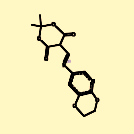 CC1(C)OC(=O)C(/C=N/c2cnc3c(c2)OCCO3)C(=O)O1